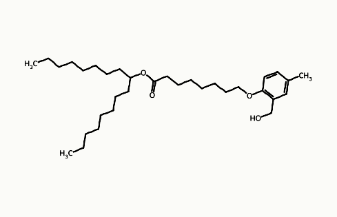 CCCCCCCCC(CCCCCCCC)OC(=O)CCCCCCCOc1ccc(C)cc1CO